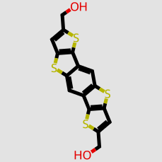 OCc1cc2sc3cc4c(cc3c2s1)sc1cc(CO)sc14